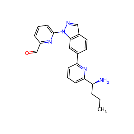 CCC[C@H](N)c1cccc(-c2ccc3cnn(-c4cccc(C=O)n4)c3c2)n1